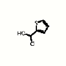 OC(Cl)c1cccs1